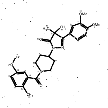 COc1ccc(C2=NN(C3CCN(C(=O)c4cc(OC(C)C)ccc4C)CC3)C(=O)C2(C)C)cc1OC